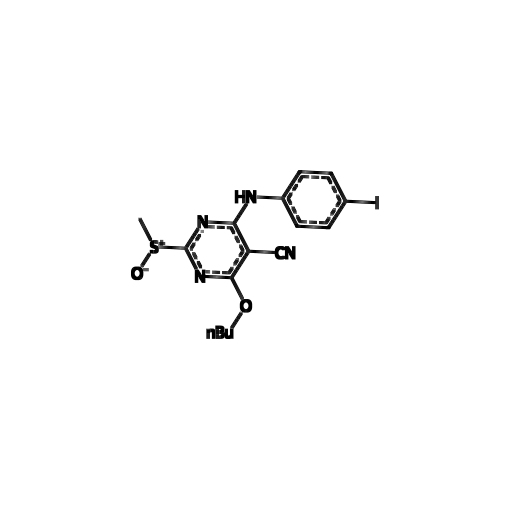 CCCCOc1nc([S+](C)[O-])nc(Nc2ccc(I)cc2)c1C#N